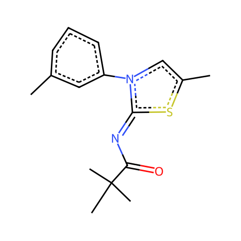 Cc1cccc(-n2cc(C)s/c2=N\C(=O)C(C)(C)C)c1